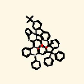 CC(C)(C)c1ccc2c(c1)C1(c3ccccc3Oc3c(-c4ccccc4N(c4ccccc4)c4ccc5c(c4)C(c4ccccc4)(c4ccccc4)c4ccccc4-5)cccc31)c1cc(C(C)(C)C)ccc1-2